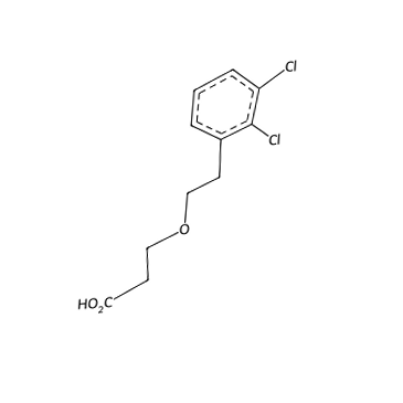 O=C(O)CCOCCc1cccc(Cl)c1Cl